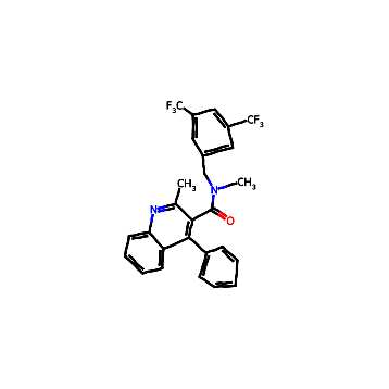 Cc1nc2ccccc2c(-c2ccccc2)c1C(=O)N(C)Cc1cc(C(F)(F)F)cc(C(F)(F)F)c1